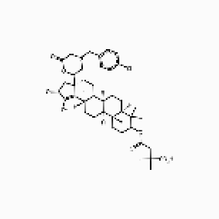 CC(C)C1=C2[C@H]3CC[C@@H]4[C@@]5(C)CC[C@H](OC(=O)CC(C)(C)C(=O)O)C(C)(C)[C@@H]5CC[C@@]4(C)[C@]3(C)CC[C@@]2([C@@H]2CN(Cc3ccc(Cl)cc3)CC(=O)O2)CC1=O